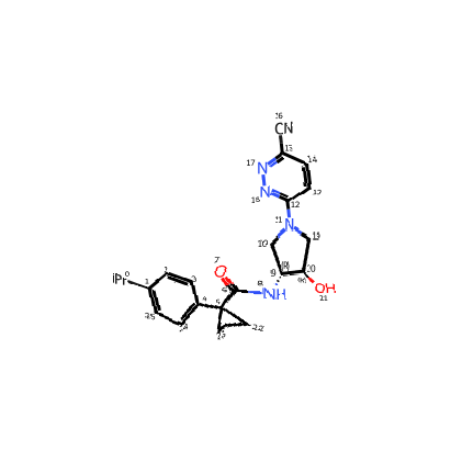 CC(C)c1ccc(C2(C(=O)N[C@@H]3CN(c4ccc(C#N)nn4)C[C@H]3O)CC2)cc1